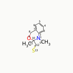 CN1c2ccccc2COC1(C)C=S